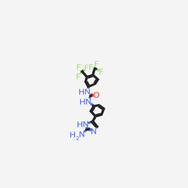 Nc1ncc(-c2cccc(NC(=O)Nc3ccc(C(F)(F)F)c(C(F)(F)F)c3)c2)[nH]1